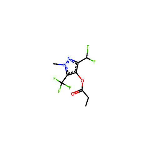 CCC(=O)Oc1c(C(F)F)nn(C)c1C(F)(F)F